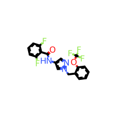 O=C(Nc1cnn(Cc2ccccc2OC(F)(F)F)c1)c1c(F)cccc1F